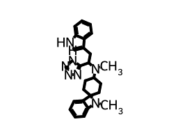 CN(C1CCC2(CC1)c1ccccc1N2C)C(Cc1c[nH]c2ccccc12)c1nnn[nH]1